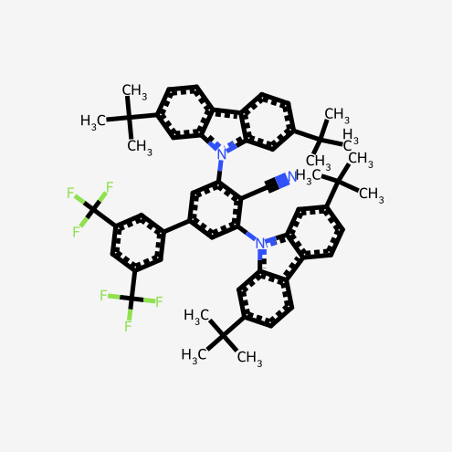 CC(C)(C)c1ccc2c3ccc(C(C)(C)C)cc3n(-c3cc(-c4cc(C(F)(F)F)cc(C(F)(F)F)c4)cc(-n4c5cc(C(C)(C)C)ccc5c5ccc(C(C)(C)C)cc54)c3C#N)c2c1